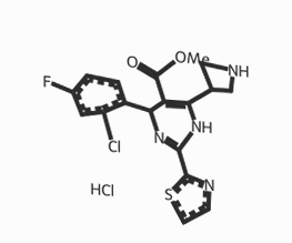 COC(=O)C1=C(C2CNC2)NC(c2nccs2)=NC1c1ccc(F)cc1Cl.Cl